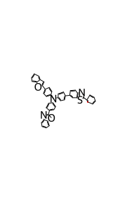 c1ccc(-c2nc3ccc(-c4ccc(N(c5ccc(-c6cc7ccccc7o6)cc5)c5ccc(-c6nc7ccccc7o6)cc5)cc4)cc3s2)cc1